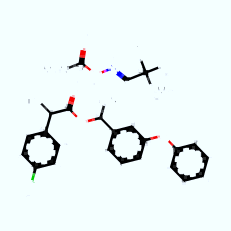 CC(C)C(C(=O)OC(C#N)c1cccc(Oc2ccccc2)c1)c1ccc(Cl)cc1.CNC(=O)O/N=C/C(C)(C)SC